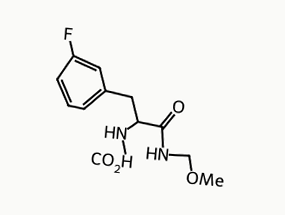 COCNC(=O)C(Cc1cccc(F)c1)NC(=O)O